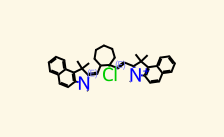 CN1/C(=C/C2CCCCCC2(Cl)/C=C/C2=[N+](C)c3ccc4ccccc4c3C2(C)C)C(C)(C)c2c1ccc1ccccc21